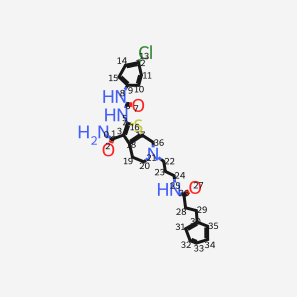 NC(=O)c1c(NC(=O)Nc2ccc(Cl)cc2)sc2c1CCN(CCCNC(=O)CCc1ccccc1)C2